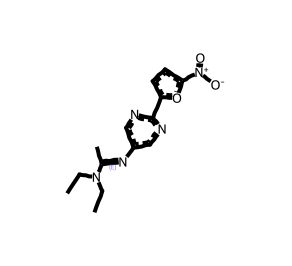 CCN(CC)/C(C)=N/c1cnc(-c2ccc([N+](=O)[O-])o2)nc1